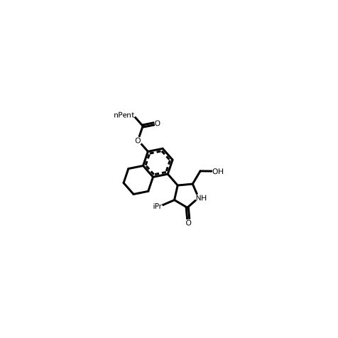 CCCCCC(=O)Oc1ccc(C2C(CO)NC(=O)C2C(C)C)c2c1CCCC2